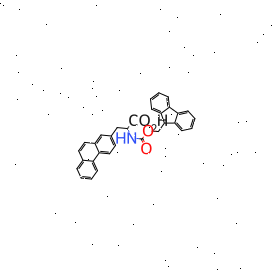 O=C(NC(Cc1ccc2c(ccc3ccccc32)c1)C(=O)O)OCC1c2ccccc2-c2ccccc21